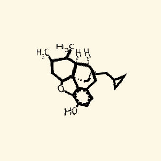 CC1CC2Oc3c(O)ccc4c3[C@@]23CCN(CC2CC2)[C@H](C4)[C@@H]3C1C